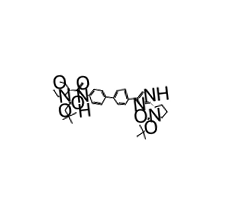 CC(C)(C)OC(=O)N1CCOC[C@H]1C(=O)Nc1ccc(-c2ccc(-c3c[nH]c([C@@H]4CCCN4C(=O)OC(C)(C)C)n3)cc2)cc1